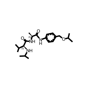 CC(C)N[C@H](C(=O)N[C@@H](C)C(=O)Nc1ccc(COC(C)C)cc1)C(C)C